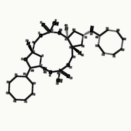 O=P1(O)OC[C@@H]2C[C@@H](OP(=O)(O)OC[C@H]3C[C@@H](NC4CCCCCCC4)C[C@@H]3O1)C(C1CCCCCCC1)O2